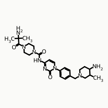 CC1CN(Cc2ccc(-n3ccc(NC(=O)N4CCN(C(=O)C(C)(C)N)CC4)nc3=O)cc2)CCC1N